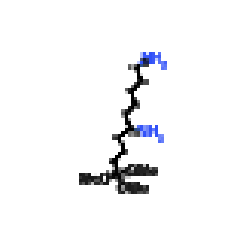 CO[Si](CCCC(N)CCCCCN)(OC)OC